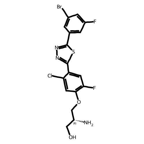 N[C@H](CO)COc1cc(Cl)c(-c2nnc(-c3cc(F)cc(Br)c3)s2)cc1F